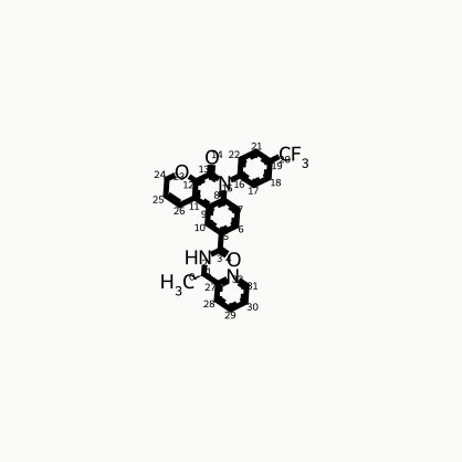 C[C@H](NC(=O)c1ccc2c(c1)c1c(c(=O)n2-c2ccc(C(F)(F)F)cc2)OCC=C1)c1ccccn1